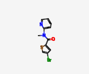 CN(C(=O)c1cc(Br)cs1)c1ccccn1